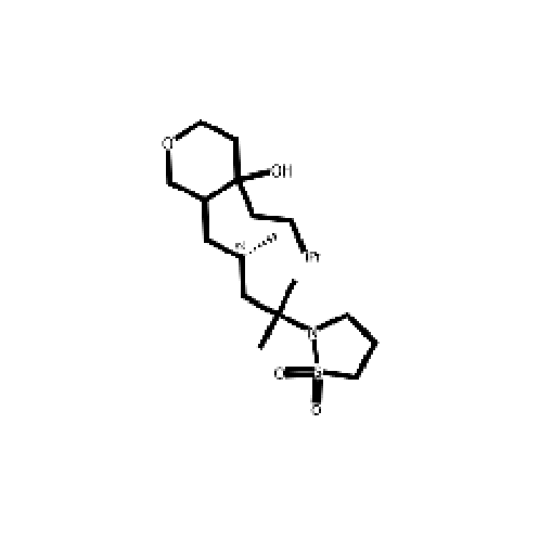 CC(C)CCC1(O)CCOCC1C[C@H](C)CC(C)(C)N1CCCS1(=O)=O